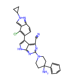 N#Cc1nc(N2CCC(N)(c3ccccc3)CC2)nc2[nH]cc(-c3ccc4nn(C5CC5)cc4c3Cl)c12